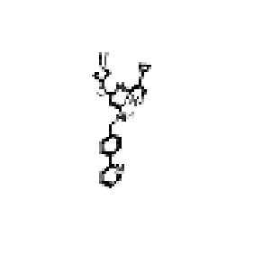 c1ccc(-c2ccc(CNc3cc(OC4CNC4)nc4c(C5CC5)cnn34)cc2)nc1